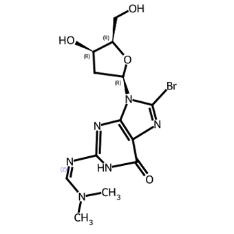 CN(C)/C=N\c1nc2c(nc(Br)n2[C@H]2C[C@@H](O)[C@@H](CO)O2)c(=O)[nH]1